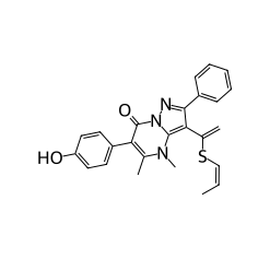 C=C(S/C=C\C)c1c(-c2ccccc2)nn2c(=O)c(-c3ccc(O)cc3)c(C)n(C)c12